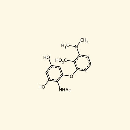 CC(=O)Nc1c(O)cc(O)cc1Oc1cccc(N(C)C)c1C(=O)O